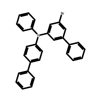 Brc1cc(-c2ccccc2)cc(N(c2ccccc2)c2ccc(-c3ccccc3)cc2)c1